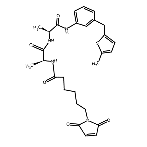 Cc1ccc(Cc2cccc(NC(=O)[C@H](C)NC(=O)[C@H](C)NC(=O)CCCCCN3C(=O)C=CC3=O)c2)s1